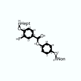 CCCCCCCCCOc1ccc(OC(=O)c2ccc(OCCCCCCC)c(F)c2)cc1